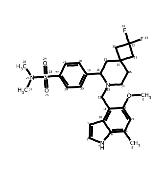 COc1cc(C)c2[nH]ccc2c1CN1CCC2(CC1c1ccc(S(=O)(=O)N(C)C)cc1)CC(F)(F)C2